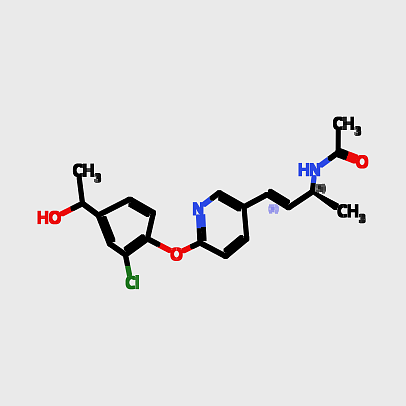 CC(=O)N[C@@H](C)/C=C/c1ccc(Oc2ccc(C(C)O)cc2Cl)nc1